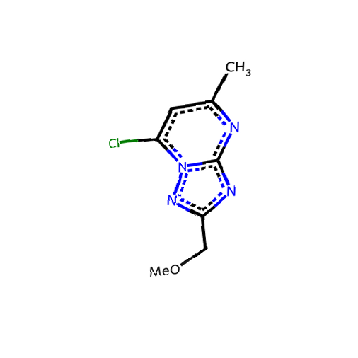 COCc1nc2nc(C)cc(Cl)n2n1